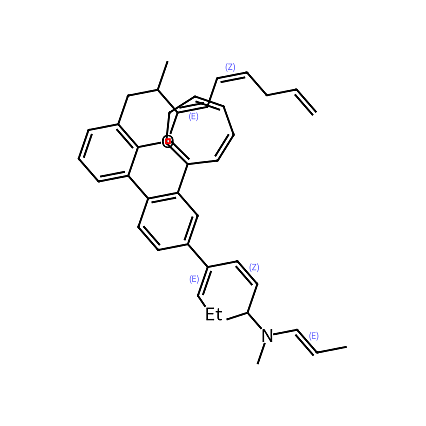 C=CC/C=C\C=C1\Oc2c(cccc2-c2ccc(C(/C=C\C(C)N(C)/C=C/C)=C/CC)cc2C2=CCC=CC=C2)CC1C